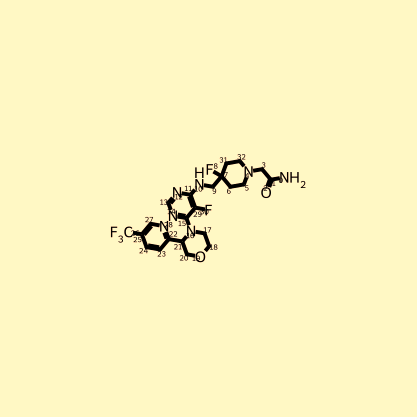 NC(=O)CN1CCC(F)(CNc2ncnc(N3CCOCC3c3ccc(C(F)(F)F)cn3)c2F)CC1